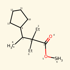 CCC(CC)(C(=O)O[SiH3])C(C)C1CCCC1